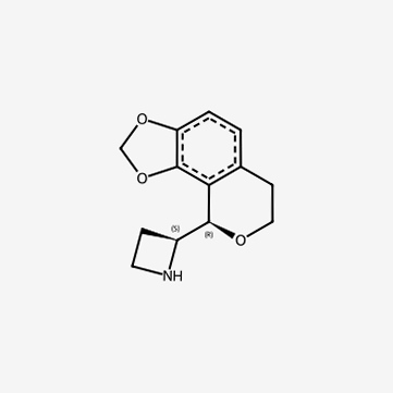 c1cc2c(c3c1CCO[C@H]3[C@@H]1CCN1)OCO2